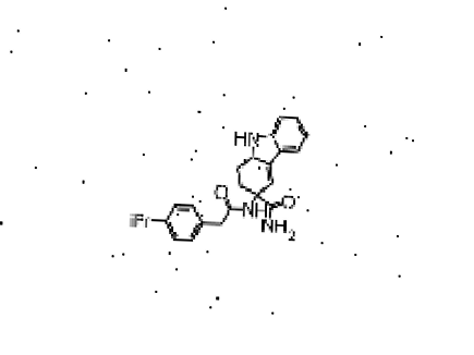 CC(C)c1ccc(CC(=O)NC2(C(N)=O)C=C3c4ccccc4NC3CC2)cc1